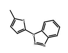 Cc1ccc(-n2nnc3ccccc32)s1